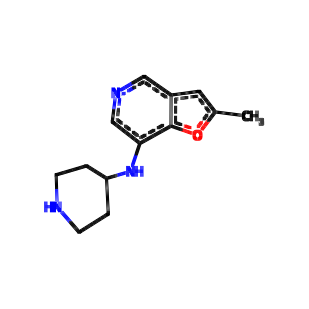 Cc1cc2cncc(NC3CCNCC3)c2o1